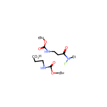 CC(C)(C)OC(=O)NCCC(=O)O.CCN(F)C(=O)CCNC(=O)OC(C)(C)C